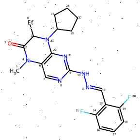 CCC1C(=O)N(C)c2cnc(NN=Cc3c(F)cccc3F)nc2N1C1CCCC1